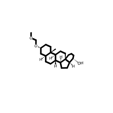 COCO[C@@H]1CC[C@@]2(C)[C@@H](CC[C@@H]3[C@@H]2CC[C@@]24CCC[C@H](O)[C@H]2CC[C@@H]34)C1